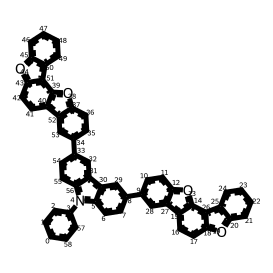 c1ccc(-n2c3ccc(-c4ccc5oc6c(ccc7oc8ccccc8c76)c5c4)cc3c3cc(-c4ccc5oc6c(ccc7oc8ccccc8c76)c5c4)ccc32)cc1